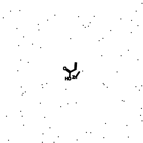 C=CC(=O)O.[CH3][Zn]